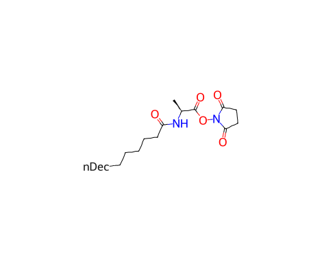 CCCCCCCCCCCCCCCC(=O)N[C@@H](C)C(=O)ON1C(=O)CCC1=O